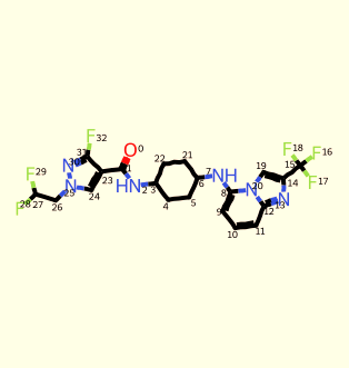 O=C(NC1CCC(Nc2cccc3nc(C(F)(F)F)cn23)CC1)c1cn(CC(F)F)nc1F